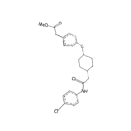 COC(=O)Cc1ccc(OC2CCC(CC(=O)Nc3ccc(Cl)cc3)CC2)cc1